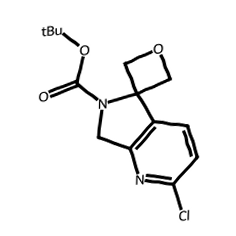 CC(C)(C)OC(=O)N1Cc2nc(Cl)ccc2C12COC2